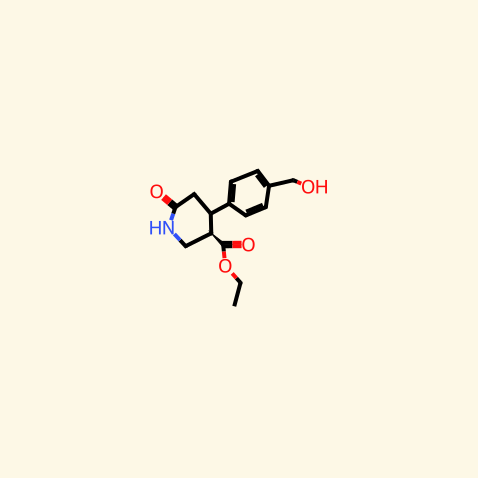 CCOC(=O)[C@H]1CNC(=O)CC1c1ccc(CO)cc1